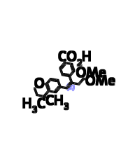 COC(C/C(=C/c1ccc2c(c1)C(C)(C)CCO2)c1ccc(C(=O)O)cc1)OC